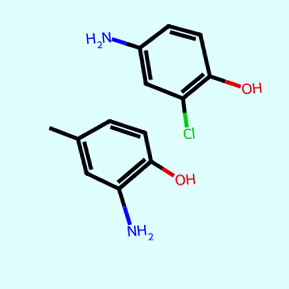 Cc1ccc(O)c(N)c1.Nc1ccc(O)c(Cl)c1